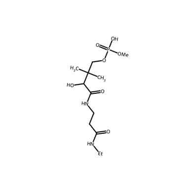 CCNC(=O)CCNC(=O)C(O)C(C)(C)COP(=O)(O)OC